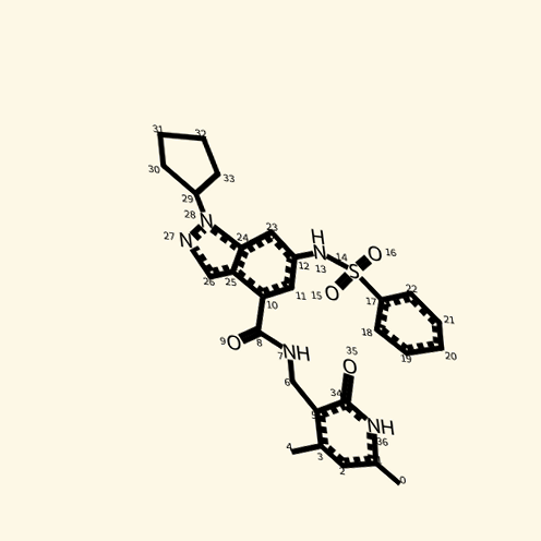 Cc1cc(C)c(CNC(=O)c2cc(NS(=O)(=O)c3ccccc3)cc3c2cnn3C2CCCC2)c(=O)[nH]1